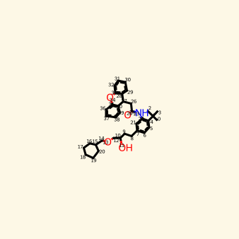 CC(C)(C)c1ccc(CCC(O)COCC2CCCCC2)cc1NC(=O)CC1c2ccccc2Oc2ccccc21